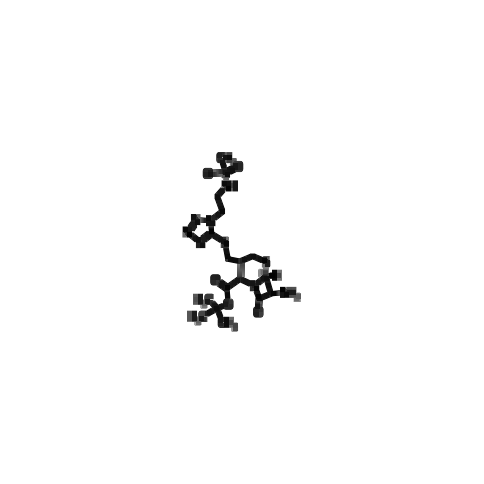 CC(C)(C)OC(=O)C1=C(CSc2nnnn2CCNS(C)(=O)=O)CS[C@@H]2C(N)C(=O)N12